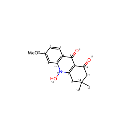 COc1ccc2c(=O)c3c(n(O)c2c1)CC(C)(C)CC3=O